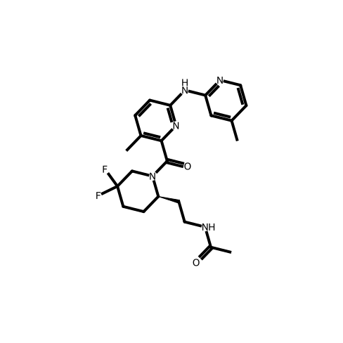 CC(=O)NCC[C@H]1CCC(F)(F)CN1C(=O)c1nc(Nc2cc(C)ccn2)ccc1C